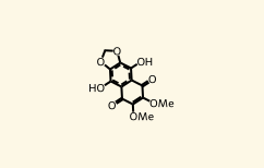 COC1=C(OC)C(=O)c2c(O)c3c(c(O)c2C1=O)OCO3